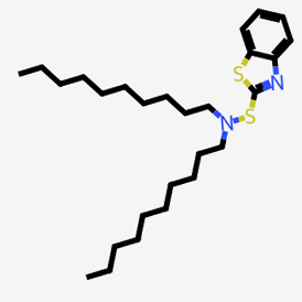 CCCCCCCCCCN(CCCCCCCCCC)Sc1nc2ccccc2s1